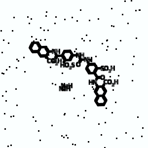 O=C(Nc1ccc(C(=O)Nc2cc3ccccc3cc2C(=O)O)c(S(=O)(=O)O)c1)Nc1ccc(C(=O)Nc2cc3ccccc3cc2C(=O)O)c(S(=O)(=O)O)c1.[NaH].[NaH]